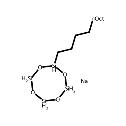 CCCCCCCCCCCC[SiH]1O[SiH2]O[SiH2]O[SiH2]O1.[Na]